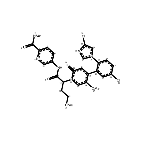 CNC(=O)c1ccc(NC(=O)C(CCOC)n2cc(OC)c(-c3cc(Cl)ccc3-n3cnc(Cl)c3)cc2=O)cn1